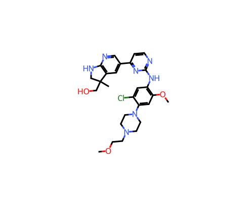 COCCN1CCN(c2cc(OC)c(Nc3nccc(-c4cnc5c(c4)C(C)(CO)CN5)n3)cc2Cl)CC1